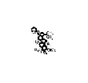 C=C(C)C1CCC2(COC3CCCCO3)CCC3(C)C(CCC4C5(C)C=C(OC)C(=O)C(C)(C)C5CCC43C)C12